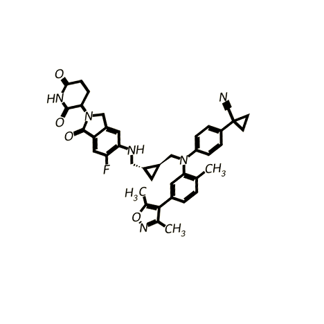 Cc1ccc(-c2c(C)noc2C)cc1N(C[C@H]1C[C@@H]1CNc1cc2c(cc1F)C(=O)N(C1CCC(=O)NC1=O)C2)c1ccc(C2(C#N)CC2)cc1